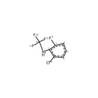 Fc1cccc(Cl)c1NC(F)(F)F